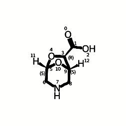 O=C(O)[C@@H]1O[C@H]2CNC[C@@H]1O2